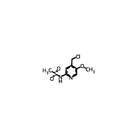 COc1cnc(NS(C)(=O)=O)cc1CCl